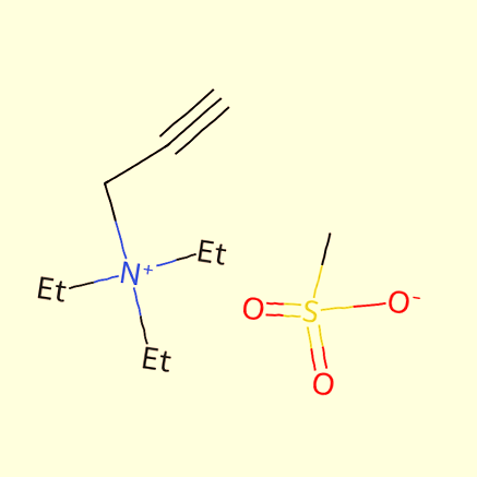 C#CC[N+](CC)(CC)CC.CS(=O)(=O)[O-]